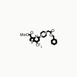 COC(=O)c1csc2c(C(F)(F)F)cc(N3CCN(CC(=O)OCc4ccccc4)CC3)nc12